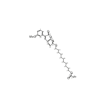 COc1cccc(-c2cc3ccc(OCCCCCCCCCCCOC(=O)C(C)C)nc3oc2=O)c1